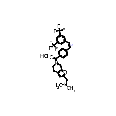 CN(C)Cc1cc2c(o1)CN(C(=O)c1ccc(/C=C\c3cc(C(F)(F)F)cc(C(F)(F)F)c3)cc1)CC2.Cl